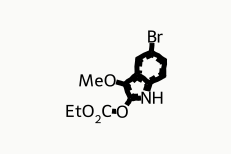 CCOC(=O)Oc1[nH]c2ccc(Br)cc2c1OC